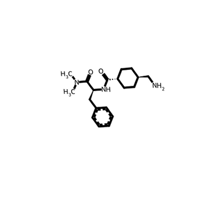 CN(C)C(=O)[C@H](Cc1ccccc1)NC(=O)[C@H]1CC[C@H](CN)CC1